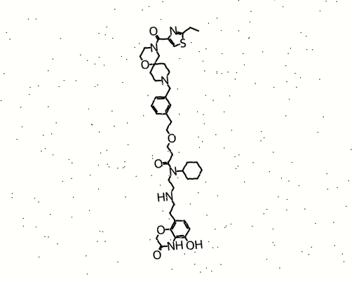 CCc1nc(C(=O)N2CCOC3(CCN(Cc4cccc(CCOCCC(=O)N(CCNCCc5ccc(O)c6c5OCC(=O)N6)C5CCCCC5)c4)CC3)C2)cs1